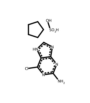 C1CCCC1.Nc1nc(Cl)c2[nH]cnc2n1.O=S(=O)(O)O